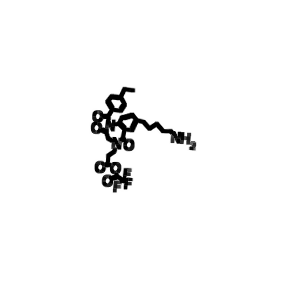 CCc1ccc(C(=O)N2C(=O)CN(CCC(=O)OC(=O)C(F)(F)F)C(=O)c3cc(CCCCCN)ccc32)cc1